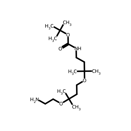 CC(C)(C)OC(=O)NCCC(C)(C)OCCC(C)(C)OCCN